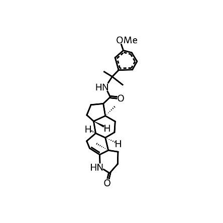 COc1cccc(C(C)(C)NC(=O)C2CC[C@H]3[C@@H]4CC=C5NC(=O)CC[C@]5(C)[C@@H]4CC[C@]23C)c1